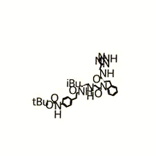 CC[C@H](C)[C@@H](CNCC(=O)N1c2ccccc2C[C@H]1C(=O)NCc1nn[nH]n1)NC(=O)Cc1ccc(NC(=O)OC(C)(C)C)cc1